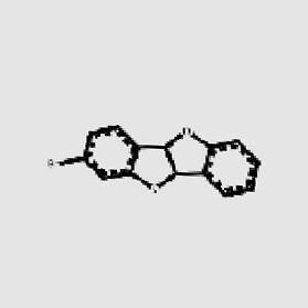 Brc1ccc2c(c1)SC1c3ccccc3OC21